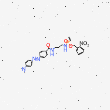 C=CP(=O)(NCCCNC(=O)c1ccc(/N=N/c2ccc(N(C)C)cc2)cc1)OCc1ccccc1[N+](=O)[O-]